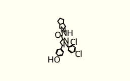 O=C(NN1CC2CCCC2C1)C1=NN(c2ccc(Cl)cc2Cl)C(c2ccc(O)cc2)C1